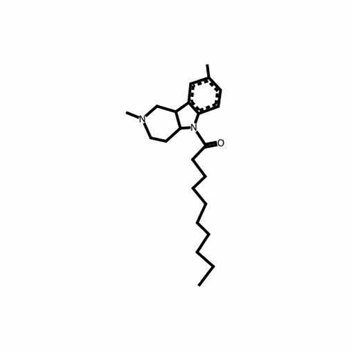 CCCCCCCCCC(=O)N1c2ccc(C)cc2C2CN(C)CCC21